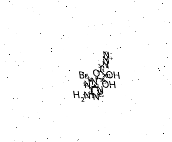 [N-]=[N+]=NCC1OC(n2c(Br)nc3c(N)ncnc32)C(O)C1O